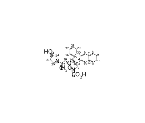 CN(C[C@@H](c1ccc2ccccc2c1)[C@H](OCC(=O)N1CC[C@@H](O)C1)c1ccccc1)C(=O)O